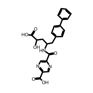 O=C(O)c1cnc(C(=O)NC(Cc2ccc(-c3ccccc3)cc2)CC(O)C(=O)O)cn1